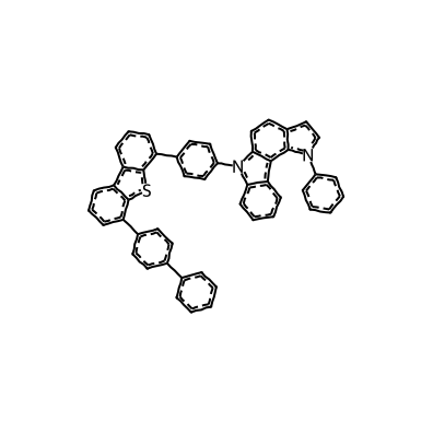 c1ccc(-c2ccc(-c3cccc4c3sc3c(-c5ccc(-n6c7ccccc7c7c8c(ccc76)ccn8-c6ccccc6)cc5)cccc34)cc2)cc1